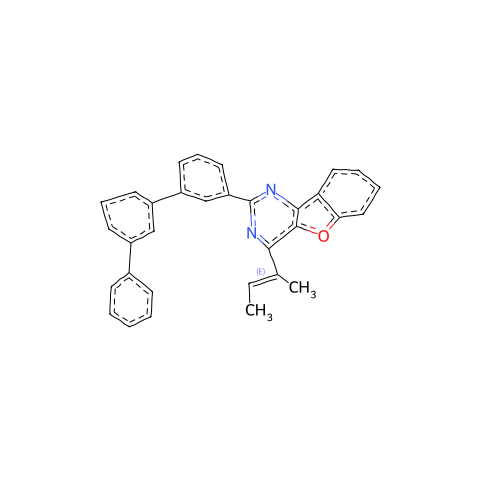 C/C=C(\C)c1nc(-c2cccc(-c3cccc(-c4ccccc4)c3)c2)nc2c1oc1ccccc12